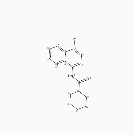 O=C(Nc1ccc(Cl)c2cccnc12)C1CCCCC1